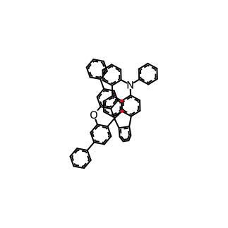 c1ccc(-c2ccc3c(c2)Oc2cc(-c4ccccc4)ccc2C32c3ccccc3-c3ccc(N(c4ccccc4)c4ccccc4-c4ccccc4)cc32)cc1